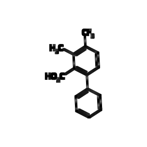 Cc1c(C(F)(F)F)ccc(-c2ccccc2)c1C(=O)O